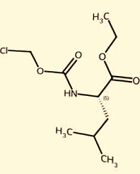 CCOC(=O)[C@H](CC(C)C)NC(=O)OCCl